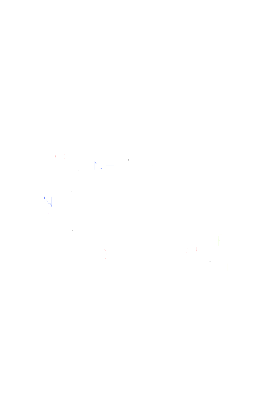 CC1(CNC(=O)c2cc(COCc3ccc4c(c3)OC(F)(F)O4)on2)COC1